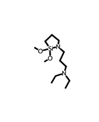 CCN(CC)CCCN1CCC[Si]1(OC)OC